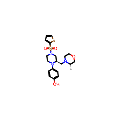 C[C@H]1COCCN1C[C@@H]1CN(S(=O)(=O)c2cccs2)CCN1c1ccc(O)cc1